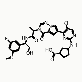 COc1cc(F)cc([C@@H](CO)NC(=O)C(C)n2cnn3cc(-c4nc(N[C@H]5CC[C@@H](C(=O)O)C5)ncc4Cl)cc3c2=O)c1